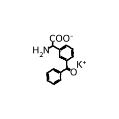 NC(C(=O)[O-])c1cccc(C(=O)c2ccccc2)c1.[K+]